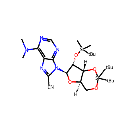 CN(C)c1ncnc2c1nc(C#N)n2[C@@H]1O[C@@H]2CO[Si](C(C)(C)C)(C(C)(C)C)O[C@H]2[C@H]1O[Si](C)(C)C(C)(C)C